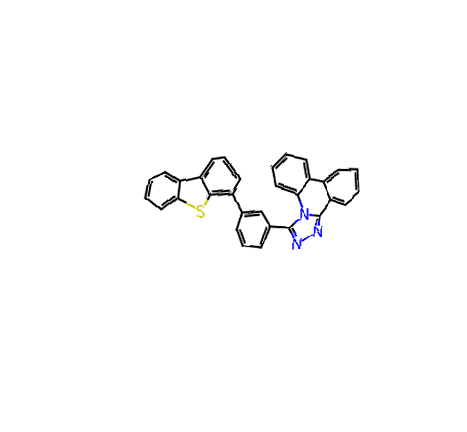 c1cc(-c2cccc3c2sc2ccccc23)cc(-c2nnc3c4ccccc4c4ccccc4n23)c1